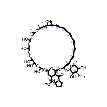 COC(=O)[C@@H]1CCCN1C(=O)C1[C@@H]2CC(O[C@@H]3O[C@H](C)C(O)[C@H](N)[C@@H]3O)/C=C/C=C/C=C/C=C/C=C/C=C/C=C/[C@H](C)C(O)[C@@H](C)[C@H](C)OC(=O)CC(O)CC(O)CCC(O)C(O)CC(O)CC(O)(C[C@@H]1O)O2